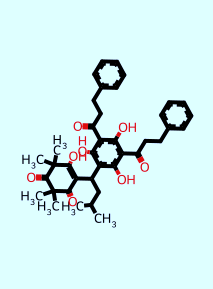 CC(C)CC(C1=C(O)C(C)(C)C(=O)C(C)(C)C1=O)c1c(O)c(C(=O)CCc2ccccc2)c(O)c(C(=O)CCc2ccccc2)c1O